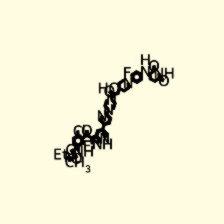 CCN(C)S(=O)(=O)Nc1ccc(Cl)c(C(=O)c2c[nH]c3ncc(-c4ccc(N5CCN(C(=O)CC6(O)CCN(c7ccc(NC8CCC(=O)NC8=O)cc7F)CC6)CC5)nc4)cc23)c1F